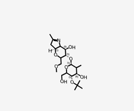 COCC1O[C@H]2CC(C)=NC2[C@@H](O)[C@@H]1O[C@@H]1OC(CO)[C@@H](OC(C)(C)C)[C@H](O)C1C